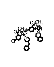 Cn1c(=O)c2cc(Cl)ccc2n2c(N3CCC(Cc4ccccc4)CC3)nnc12.Cn1c(=O)c2cc(Cl)ccc2n2c(N3CCc4ccccc4C3)nnc12